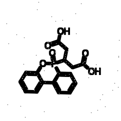 O=C(O)CC(CC(=O)O)P1(=O)Oc2ccccc2-c2ccccc21